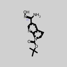 CC(C)(C)OC(=O)n1ccc2cc(/C(N)=N/O)cnc21